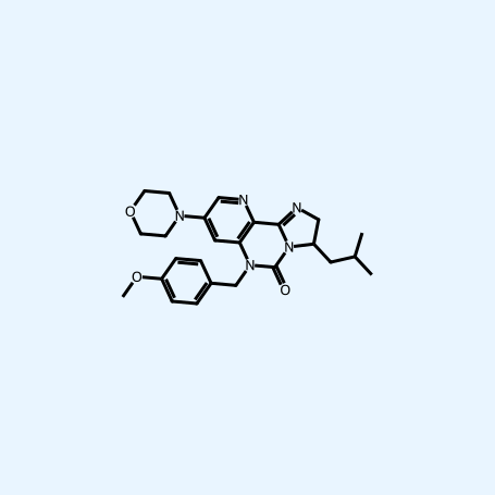 COc1ccc(CN2C(=O)N3C(=NCC3CC(C)C)c3ncc(N4CCOCC4)cc32)cc1